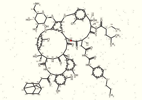 CCCOc1ccc(NC(=O)NC(=O)C[C@@H]2CC(=O)[C@H](NC(=O)[C@H](CC)CC(C)C)[C@H](O)c3ccc(c(Cl)c3)Oc3cc4cc(c3O[C@@H]3O[C@H](CN)[C@@H](O)[C@H](O)[C@H]3O)Oc3ccc(cc3Cl)[C@@H](O)[C@@H]3NC(=O)[C@H](CC(=O)[C@@H]4NC2=O)c2ccc(O)c(c2)-c2c(O)cc(O)cc2[C@@H](C(=O)CC2C4CC5CC(C4)CC2C5)NC3=O)cc1